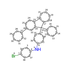 Brc1ccc(Nc2ccc(C3(c4ccccc4)c4ccccc4-c4ccc(-c5ccccc5)cc43)cc2)cc1